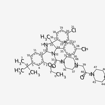 CCOc1cc(C(C)(C)C)ccc1C1=NC(C)(c2ccc(Cl)cc2)C(c2ccc(Cl)cc2)N1C(=O)N1CCN(CC(=O)N2CCOCC2)CC1